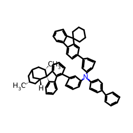 C[C@@H]1CC2C[C@@H](C1)[C@@]1(c3ccccc3-c3c(-c4cccc(N(c5ccc(-c6ccccc6)cc5)c5cccc(-c6ccc7c(c6)C6(CCCCC6)c6ccccc6-7)c5)c4)cccc31)[C@@H](C)C2